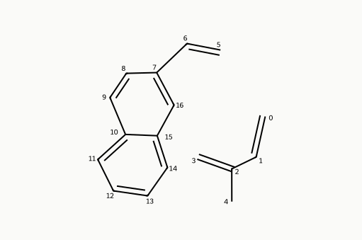 C=CC(=C)C.C=Cc1ccc2ccccc2c1